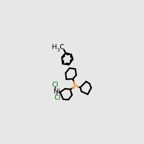 C1CCC(P(C2CCCCC2)C2CCCCC2)CC1.Cc1ccccc1.[Cl][Ni][Cl]